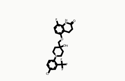 O=C1CCc2c(OCC3(O)CCN(c4ccc(Cl)cc4C(F)(F)F)CC3)ccc(F)c2N1